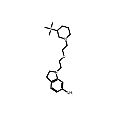 C[N+](C)(C)C1CCCN(CCOCCN2CCc3ccc(N)cc32)C1